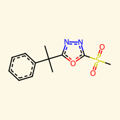 CC(C)(c1ccccc1)c1nnc(S(C)(=O)=O)o1